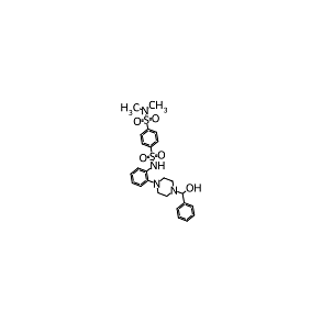 CN(C)S(=O)(=O)c1ccc(S(=O)(=O)Nc2ccccc2N2CCN(C(O)c3ccccc3)CC2)cc1